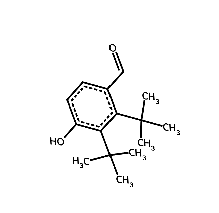 CC(C)(C)c1c(O)ccc(C=O)c1C(C)(C)C